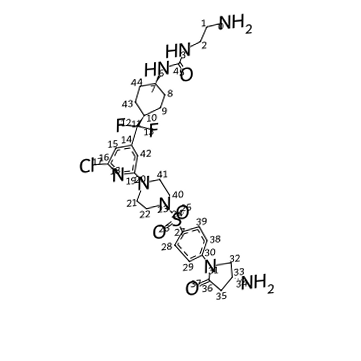 NCCNC(=O)N[C@H]1CC[C@@H](C(F)(F)c2cc(Cl)nc(N3CCN(S(=O)(=O)c4ccc(N5C[C@H](N)CC5=O)cc4)CC3)c2)CC1